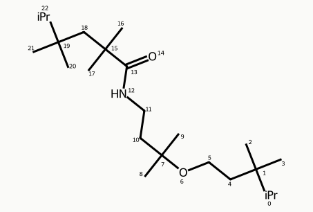 CC(C)C(C)(C)CCOC(C)(C)CCNC(=O)C(C)(C)CC(C)(C)C(C)C